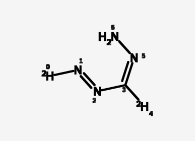 [2H]N=NC([2H])=NN